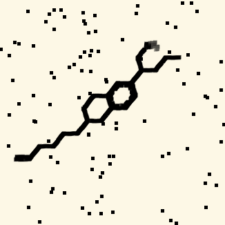 C=CCCCCC1CCc2cc(C(CN)CCC)ccc2C1